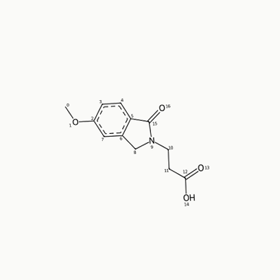 COc1ccc2c(c1)CN(CCC(=O)O)C2=O